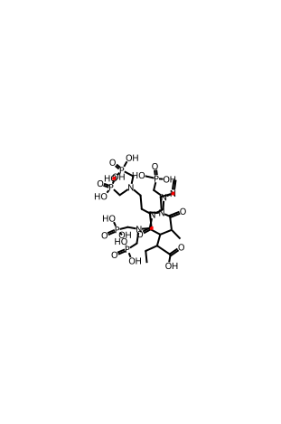 C=NCN(CCN(CP(=O)(O)O)CP(=O)(O)O)C(=O)C(C)C(C(=O)N(CCN(CP(=O)(O)O)CP(=O)(O)O)CN(C)CP(=O)(O)O)C(CC)C(=O)O